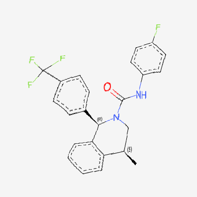 C[C@@H]1CN(C(=O)Nc2ccc(F)cc2)[C@H](c2ccc(C(F)(F)F)cc2)c2ccccc21